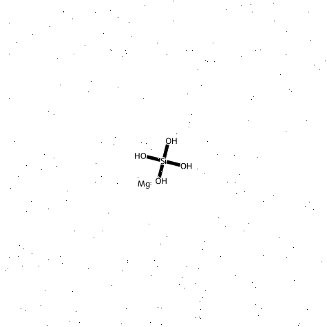 O[Si](O)(O)O.[Mg]